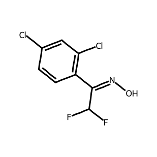 ON=C(c1ccc(Cl)cc1Cl)C(F)F